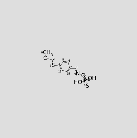 COCSc1ccc(C=NOP(O)(O)=S)cc1